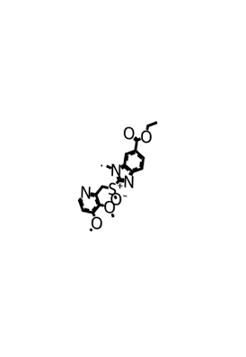 [CH2]n1c([S+]([O-])Cc2nccc(OC)c2OC)nc2ccc(C(=O)OCC)cc21